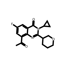 CC(=O)c1cc(F)cc2c(=O)n(C3CC3)c(C3CCCOC3)nc12